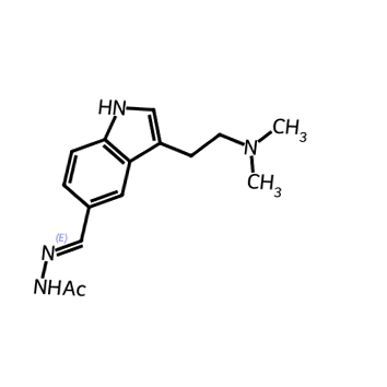 CC(=O)N/N=C/c1ccc2[nH]cc(CCN(C)C)c2c1